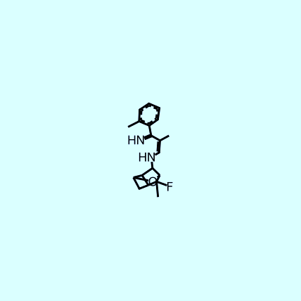 C/C(=C/NC1C2C3CC2C(C)(F)C1O3)C(=N)c1ccccc1C